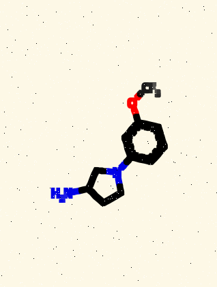 NC1CCN(c2cccc(OC(F)(F)F)c2)C1